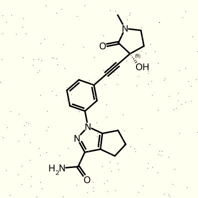 CN1CC[C@@](O)(C#Cc2cccc(-n3nc(C(N)=O)c4c3CCC4)c2)C1=O